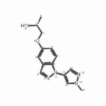 C[C@H](N)COc1ccc2c(cnn2-c2cnn(C)c2)c1